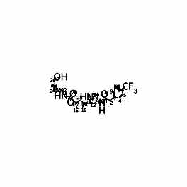 O=C(Cc1ccc(C(F)(F)F)nc1)Nc1cc([C@@H]2CC[C@H](OC(=O)NC[C@H]3C[C@@H]3CO)C2)[nH]n1